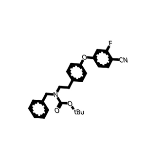 CC(C)(C)OC(=O)N(CCc1ccc(Oc2ccc(C#N)c(F)c2)cc1)Cc1ccccc1